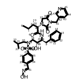 CC[C@H](C)[C@@H](C(=O)N[C@@H](Cc1ccccc1)[C@H](O)CN(CC(C)C)S(=O)(=O)c1ccc(C=NO)cc1)N1CC(=O)N(Cc2cccnc2)C1=O